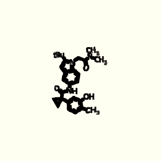 Cc1ccc(C2(C(=O)Nc3ccc4c(c3)cc(C(C)(C)C)n4CC(=O)N(C)C)CC2)cc1O